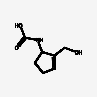 O=C(O)NC1CCC=C1CO